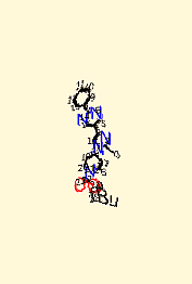 Cc1nc(-c2cnc(-c3ccccc3)nc2)cn1C1CCN(C(=O)OC(C)(C)C)CC1